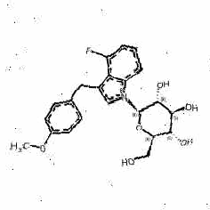 COc1ccc(Cc2cn([C@@H]3O[C@H](CO)[C@@H](O)[C@H](O)[C@H]3O)c3cccc(F)c23)cc1